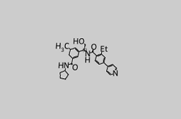 CCc1cc(-c2ccncc2)ccc1C(=O)N[C@H](CO)C1=CC(C)CC(C(=O)NC2CCCC2)=C1